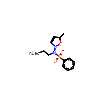 CCCCCCCCCCCCN(N1C=CC(C)O1)S(=O)(=O)c1ccccc1